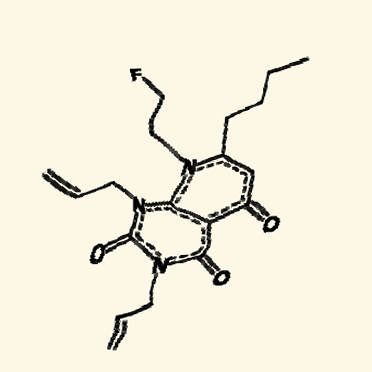 C=CCn1c(=O)c2c(=O)cc(CCCC)n(CCF)c2n(CC=C)c1=O